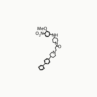 COc1cc(NC2CCN(C(=O)CCN3CCC(c4ccc(-c5ccccc5)cc4)CC3)CC2)ccc1[N+](=O)[O-]